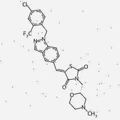 CN1CCO[C@H](CN2C(=O)S/C(=C\c3ccc4c(cnn4Cc4ccc(Cl)cc4C(F)(F)F)c3)C2=O)C1